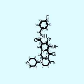 C[C@H]1CCN(C2CCSCC2)C2Cn3cc(C(=O)NCc4ccc(F)cc4)c(=O)c(O)c3C(=O)N21